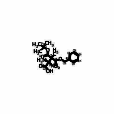 CC(C)(C)OC(=O)C(C)(C(=O)OCc1ccccc1)C(N)(N)C(=O)O